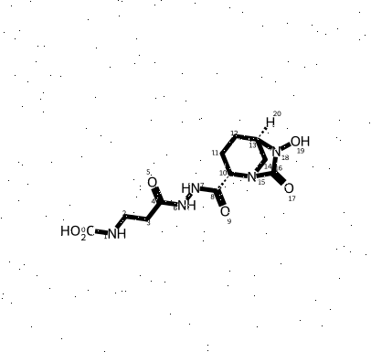 O=C(O)NCCC(=O)NNC(=O)[C@@H]1CC[C@@H]2CN1C(=O)N2O